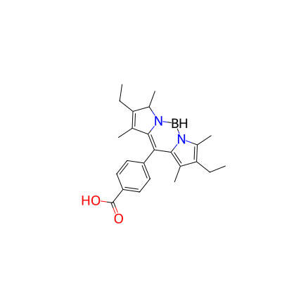 CCC1=C(C)C2=C(c3ccc(C(=O)O)cc3)c3c(C)c(CC)c(C)n3BN2C1C